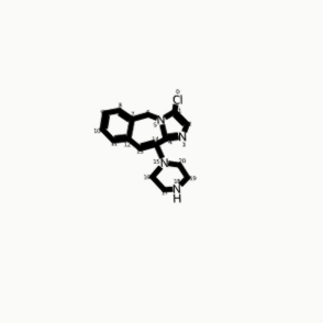 Clc1cnc2n1Cc1ccccc1C=C2N1CCNCC1